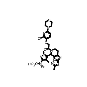 CCN(C(=O)O)c1nn(C)c(C2c3c(nc4sc(C)nn34)CCN2C(=O)COc2ccc(N3CCOCC3)nc2Cl)c1C